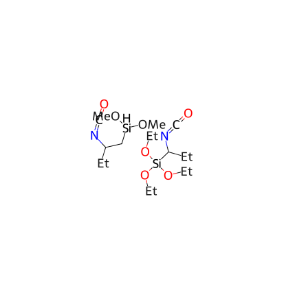 CCC(C[SiH](OC)OC)N=C=O.CCO[Si](OCC)(OCC)C(CC)N=C=O